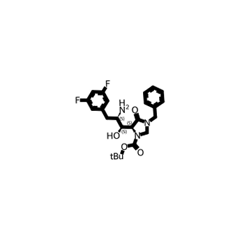 CC(C)(C)OC(=O)N1CN(Cc2ccccc2)C(=O)[C@@H]1[C@@H](O)[C@@H](N)Cc1cc(F)cc(F)c1